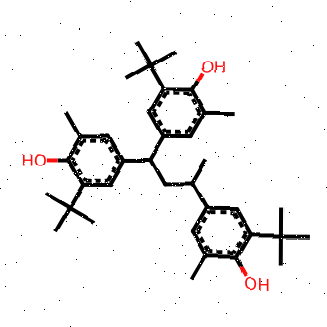 Cc1cc(C(C)CC(c2cc(C)c(O)c(C(C)(C)C)c2)c2cc(C)c(O)c(C(C)(C)C)c2)cc(C(C)(C)C)c1O